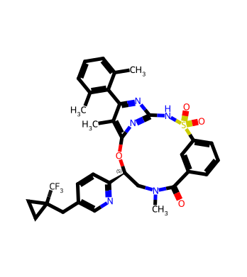 Cc1cccc(C)c1-c1nc2nc(c1C)O[C@H](c1ccc(CC3(C(F)(F)F)CC3)cn1)CN(C)C(=O)c1cccc(c1)S(=O)(=O)N2